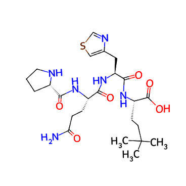 CC(C)(C)CC[C@H](NC(=O)[C@H](Cc1cscn1)NC(=O)[C@H](CCC(N)=O)NC(=O)[C@@H]1CCCN1)C(=O)O